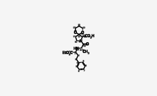 CCOC(=O)C(CCc1ccccc1)N[C@@H](C)C(=O)N1CCC2(OCCCO2)C1C(=O)O